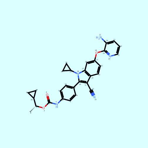 C[C@@H](OC(=O)Nc1ccc(-c2c(C#N)c3ccc(Oc4ncccc4N)cc3n2C2CC2)cc1)C1CC1